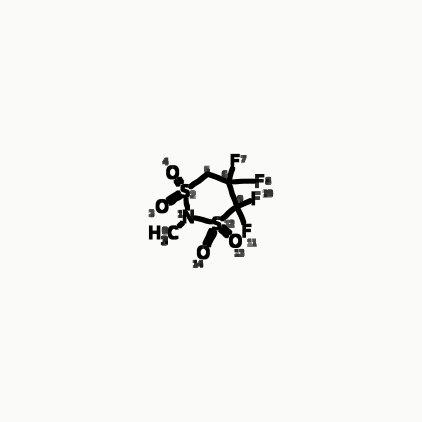 CN1S(=O)(=O)CC(F)(F)C(F)(F)S1(=O)=O